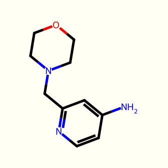 Nc1ccnc(CN2CCOCC2)c1